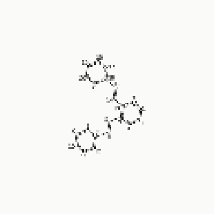 [c]1cccc(/C=C/c2ccccc2)c1/C=C/c1ccccc1